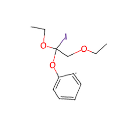 CCOCC(I)(OCC)Oc1[c]cccc1